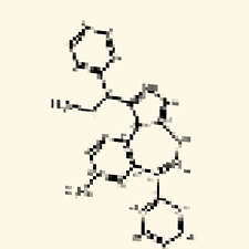 NCC(c1ccccc1)c1nnc2n1-c1ccc([N+](=O)[O-])cc1C(c1ccccc1)=NC2